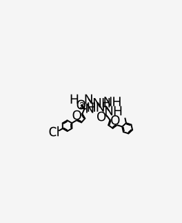 Cc1ccccc1-c1ccc(C(=O)NC(=N)NNC(N)=NC(=O)c2ccc(-c3ccc(Cl)cc3)o2)o1